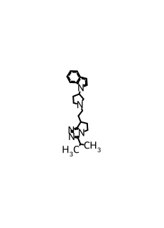 CC(C)c1nnc2n1CCC2CCN1CCC(n2ccc3ccccc32)C1